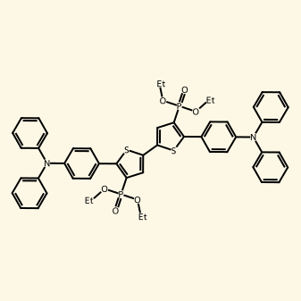 CCOP(=O)(OCC)c1cc(-c2cc(P(=O)(OCC)OCC)c(-c3ccc(N(c4ccccc4)c4ccccc4)cc3)s2)sc1-c1ccc(N(c2ccccc2)c2ccccc2)cc1